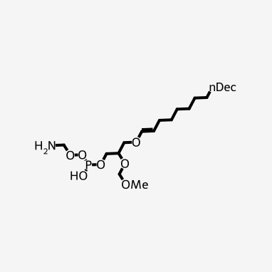 CCCCCCCCCCCCCCCCC=COCC(COP(O)OOCN)OCOC